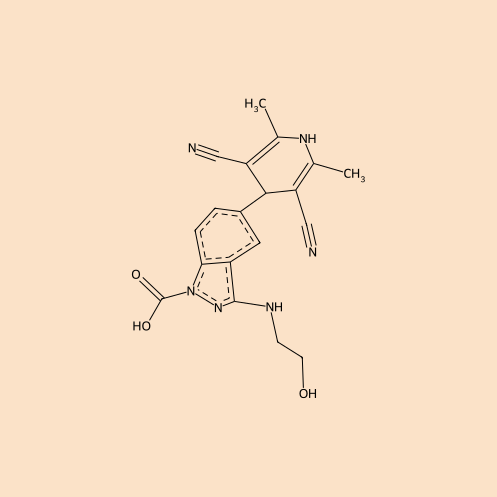 CC1=C(C#N)C(c2ccc3c(c2)c(NCCO)nn3C(=O)O)C(C#N)=C(C)N1